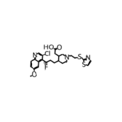 COc1ccc2ncc(Cl)c([C@H](F)CCC3CCN(CCSc4nccs4)CC3CC(=O)O)c2c1